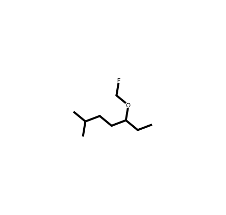 CCC(CCC(C)C)OCF